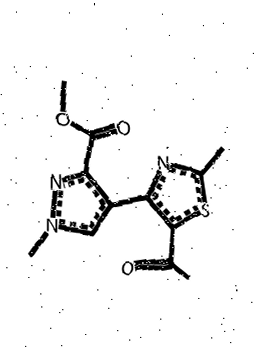 COC(=O)c1nn(C)cc1-c1nc(C)sc1C(C)=O